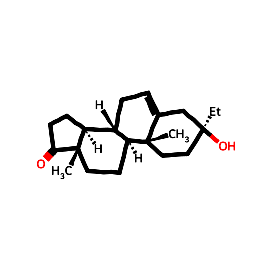 CC[C@]1(O)CC[C@@]2(C)C(=CC[C@@H]3[C@@H]2CC[C@]2(C)C(=O)CC[C@@H]32)C1